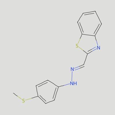 CSc1ccc(N/N=C/c2nc3ccccc3s2)cc1